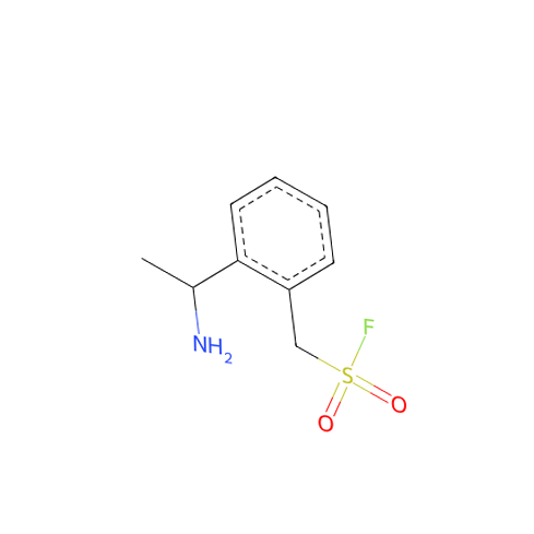 CC(N)c1ccccc1CS(=O)(=O)F